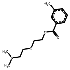 [CH2]c1cccc(C(=O)OCCOCCN(C)C)c1